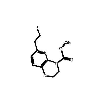 CC(C)(C)OC(=O)N1CCOc2ccc(CCI)nc21